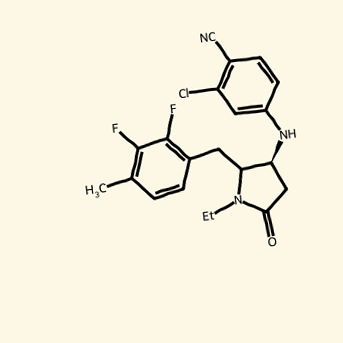 CCN1C(=O)C[C@H](Nc2ccc(C#N)c(Cl)c2)C1Cc1ccc(C)c(F)c1F